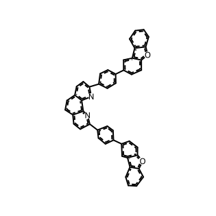 c1ccc2c(c1)oc1ccc(-c3ccc(-c4ccc5ccc6ccc(-c7ccc(-c8ccc9oc%10ccccc%10c9c8)cc7)nc6c5n4)cc3)cc12